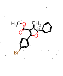 C=C1C(C(=O)OC)=C(c2ccc(Br)cc2)O[C@@H]1c1ccccc1